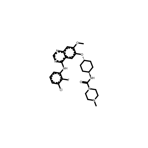 COc1cc2ncnc(Nc3cccc(Cl)c3F)c2cc1O[C@H]1CC[C@H](NC(=O)N2CCN(C)CC2)CC1